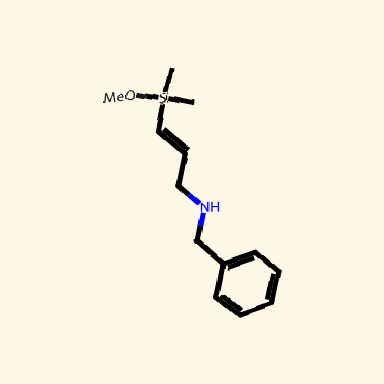 CO[Si](C)(C)C=CCNCc1ccccc1